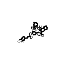 Cc1ccc(N=Nc2c(OC(=O)c3ccc(OC(=O)C=Cc4ccc(CO)cc4)cc3)c(C(=O)O)cc3ccccc23)c(S(=O)(=O)O)c1